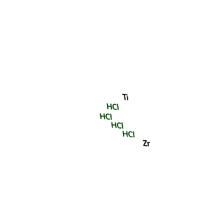 Cl.Cl.Cl.Cl.[Ti].[Zr]